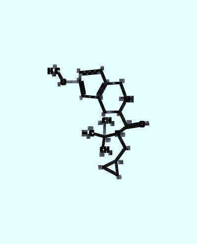 COc1ccc2c(c1)CC(C(=O)N(CC1CC1)C(C)(C)C)NC2